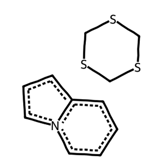 C1SCSCS1.c1ccn2cccc2c1